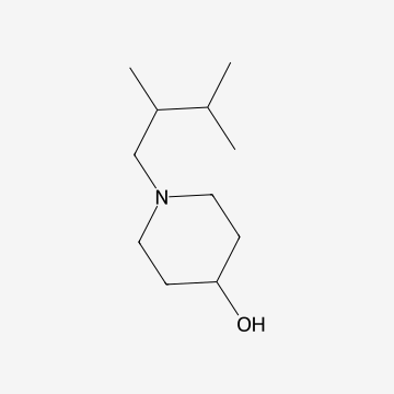 CC(C)C(C)CN1CCC(O)CC1